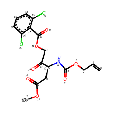 C=CCOC(=O)N[C@@H](CC(=O)OC(C)(C)C)C(=O)COC(=O)c1c(Cl)cccc1Cl